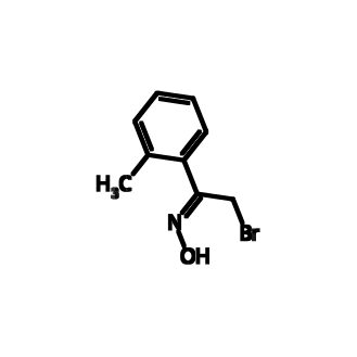 Cc1ccccc1C(CBr)=NO